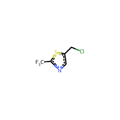 FC(F)(F)c1ncc(CCl)s1